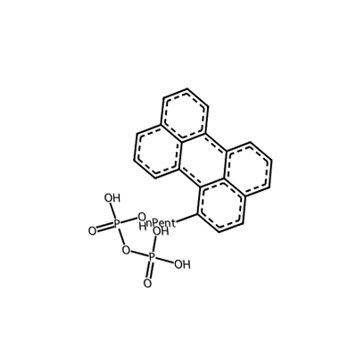 CCCCCc1ccc2cccc3c4cccc5cccc(c1c23)c54.O=P(O)(O)OP(=O)(O)O